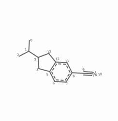 CC(C)C1Cc2ccc(C#N)cc2C1